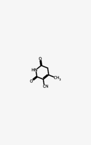 CC1=C(C#N)C(=O)NC(=O)C1